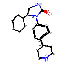 O=C1NCC(C2CCCCC2)N1c1ccc(C2CCNCC2)cc1